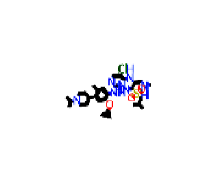 CN/C=C(/Nc1nc(Nc2cc(C)c(C3CCN(C(C)C)CC3)cc2OC2CC2)ncc1Cl)C(=N)S(=O)(=O)CC(C)C